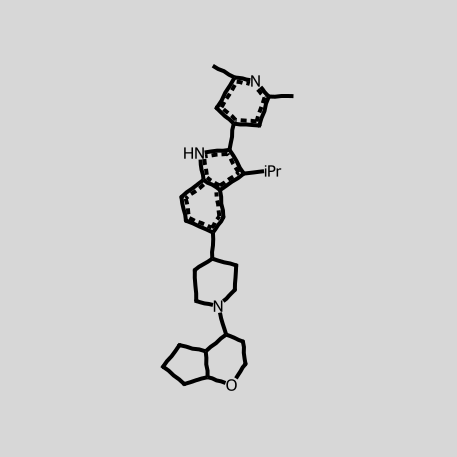 Cc1cc(-c2[nH]c3ccc(C4CCN(C5CCOC6CCCC65)CC4)cc3c2C(C)C)cc(C)n1